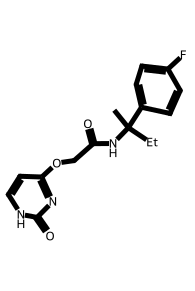 CCC(C)(NC(=O)COc1cc[nH]c(=O)n1)c1ccc(F)cc1